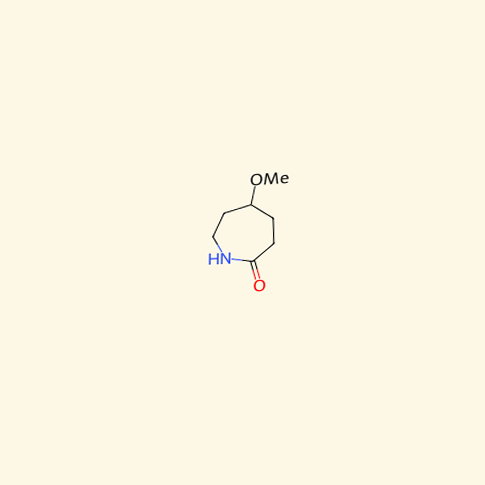 COC1CCNC(=O)CC1